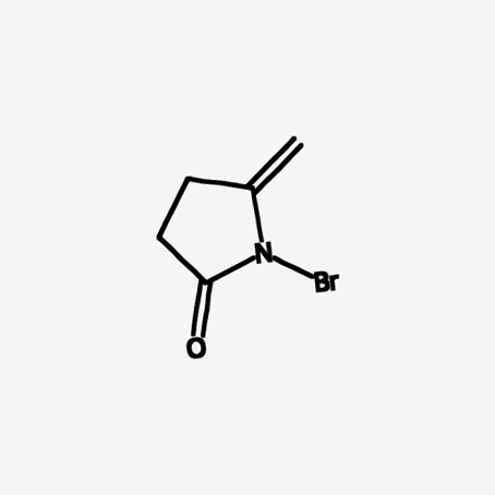 C=C1CCC(=O)N1Br